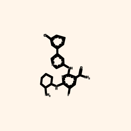 NC(=O)c1cc(F)c(NC2CCCCC2N)nc1Nc1cncc(-c2cccc(Cl)c2)c1